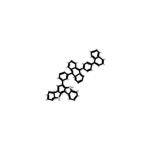 c1cc(-c2c3ccccc3c(-c3ccc(-c4cccc5ccccc45)cc3)c3ccccc23)cc(-c2cc3c4ccccc4oc3c3c2oc2ccccc23)c1